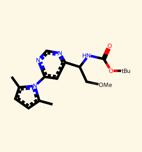 COCC(NC(=O)OC(C)(C)C)c1cc(-n2c(C)ccc2C)ncn1